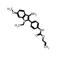 C=CCOC(=O)Nc1ccc(-c2c(N)c3ccc(OC)cc3n2CC)cc1